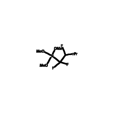 CCCC(F)C(F)(F)[Si](OC)(OC)OC